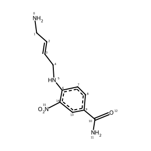 NCC=CCNc1ccc(C(N)=O)cc1[N+](=O)[O-]